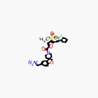 C[SH](C)(=O)c1cc(C(=O)N2CCC3(CC2)COc2ccc(CN)cc23)oc1C#Cc1ccccc1F